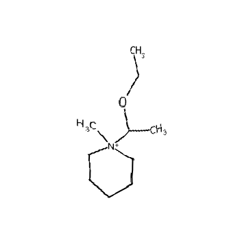 CCOC(C)[N+]1(C)CCCCC1